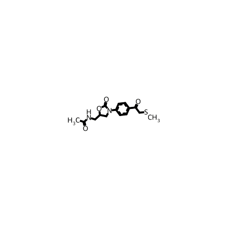 CSCC(=O)c1ccc(N2CC(CNC(C)=O)OC2=O)cc1